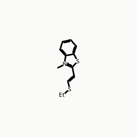 CCS/C=C/c1sc2ccccc2[n+]1C